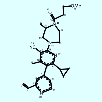 C=Cc1cc(-c2c(C3CC3)nc(N3CCN(C(=O)CCOC)C(C)C3)c(C#N)c2C)ccn1